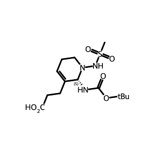 CC(C)(C)OC(=O)N[C@@H]1C(CCC(=O)O)=CCCN1NS(C)(=O)=O